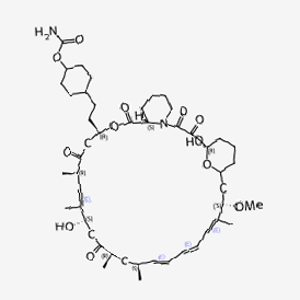 CO[C@H]1CC2CCC[C@@](O)(O2)C(=O)C(=O)N2CCCC[C@H]2C(=O)O[C@H](CCC2CCC(OC(N)=O)CC2)CC(=O)[C@H](C)/C=C(\C)[C@@H](O)CC(=O)[C@H](C)C[C@H](C)/C=C/C=C/C=C/1C